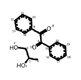 CC(O)CO.O=C(C(=O)c1ccccc1)c1ccccc1